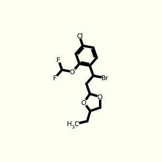 CCC1COC(CC(Br)c2ccc(Cl)cc2OC(F)F)O1